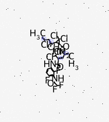 C=C(Cl)/C(=C\C(=C/C)NC(=O)C1C(/C(C)=C/C(Cl)=C\C)C1(Cl)Cl)C(=O)Nc1ccc(F)c(NC(=O)C(F)F)c1F